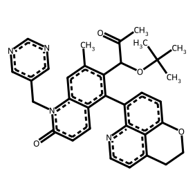 CC(=O)C(OC(C)(C)C)c1c(C)cc2c(ccc(=O)n2Cc2cncnc2)c1-c1ccc2c3c(ccnc13)CCO2